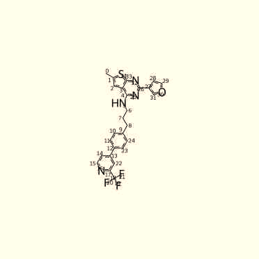 Cc1cc2c(NCCCc3ccc(-c4ccnc(C(F)(F)F)c4)cc3)nc(-c3ccoc3)nc2s1